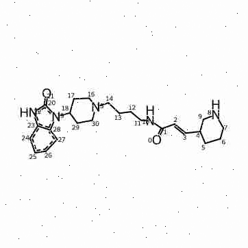 O=C(C=CC1CCCNC1)NCCCCN1CCC(n2c(=O)[nH]c3ccccc32)CC1